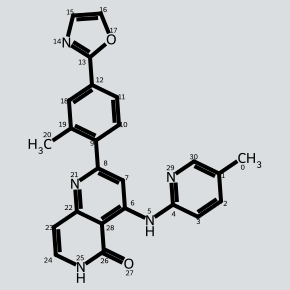 Cc1ccc(Nc2cc(-c3ccc(-c4ncco4)cc3C)nc3cc[nH]c(=O)c23)nc1